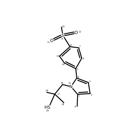 Cc1ccc(-c2ccc(S(C)(=O)=O)cc2)n1CC(C)(C)S